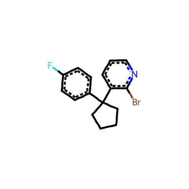 Fc1ccc(C2(c3cccnc3Br)CCCC2)cc1